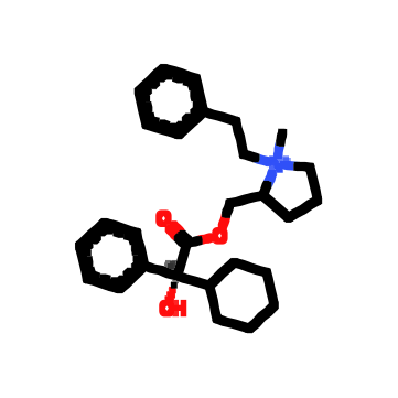 C[N+]1(CCc2ccccc2)CCCC1COC(=O)[C@](O)(c1ccccc1)C1CCCCC1